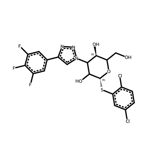 OCC1O[C@H](Sc2cc(Cl)ccc2Cl)C(O)C(n2cc(-c3cc(F)c(F)c(F)c3)nn2)[C@H]1O